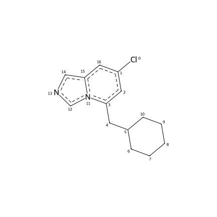 Clc1cc(CC2CCCCC2)n2cncc2c1